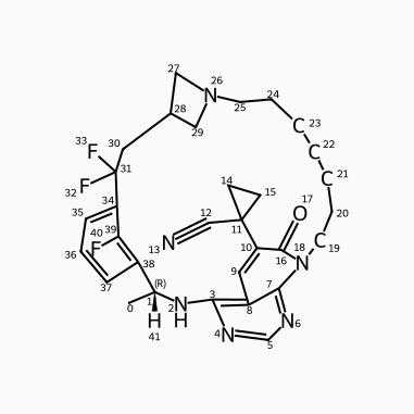 C[C@H]1Nc2ncnc3c2cc(C2(C#N)CC2)c(=O)n3CCCCCCCN2CC(C2)CC(F)(F)c2cccc1c2F